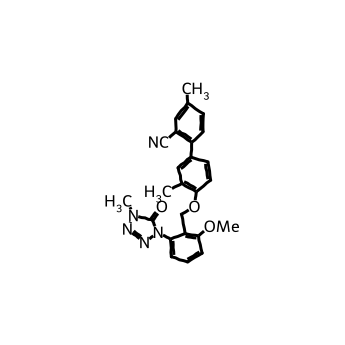 COc1cccc(-n2nnn(C)c2=O)c1COc1ccc(-c2ccc(C)cc2C#N)cc1C